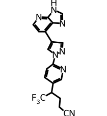 N#CCCC(c1ccc(-n2cc(-c3ccnc4[nH]cnc34)cn2)nc1)C(F)(F)F